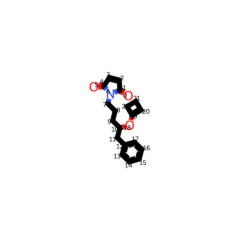 O=C1C=CC(=O)N1CCCC(Cc1ccccc1)OC1=CCC1